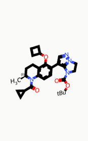 C[C@H]1CCc2c(ccc(-c3cnn4c3N(C(=O)OC(C)(C)C)CC4)c2OC2CCC2)N1C(=O)C1CC1